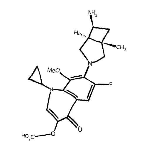 COc1c(N2C[C@H]3[C@@H](N)C[C@]3(C)C2)c(F)cc2c(=O)c(OC(=O)O)cn(C3CC3)c12